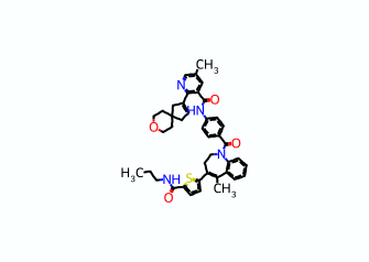 CCCNC(=O)c1ccc(C2=C(C)c3ccccc3N(C(=O)c3ccc(NC(=O)c4cc(C)cnc4C4=CCC5(CCOCC5)C4)cc3)CC2)s1